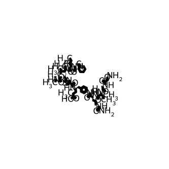 CC[C@H](C)[C@H](NC(=O)[C@H]1CCCCN1C)C(=O)N(C)[C@H](C[C@@H](OC(=O)NC)c1nc(C(=O)N[C@@H](Cc2ccc(NC(=O)[C@H](CCCNC(N)=O)NC(=O)[C@@H](NC(=O)CNC(=O)CON)C(C)C)cc2)C[C@H](C)C(=O)O)cs1)C(C)C